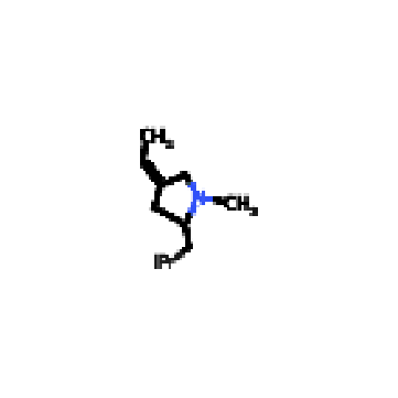 C/C=C1/CC(CC(C)C)N(C)C1